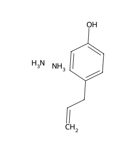 C=CCc1ccc(O)cc1.N.N